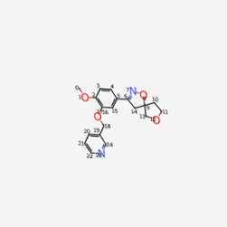 COc1ccc(C2=NOC3(CCOC3)C2)cc1OCc1cccnc1